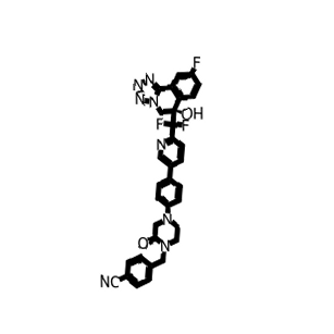 N#Cc1ccc(CN2CCN(c3ccc(-c4ccc(C(F)(F)[C@]5(O)Cn6nnnc6-c6cc(F)ccc65)nc4)cc3)CC2=O)cc1